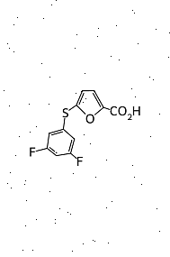 O=C(O)c1ccc(Sc2cc(F)cc(F)c2)o1